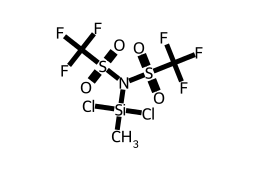 C[Si](Cl)(Cl)N(S(=O)(=O)C(F)(F)F)S(=O)(=O)C(F)(F)F